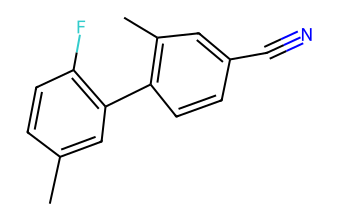 Cc1ccc(F)c(-c2ccc(C#N)cc2C)c1